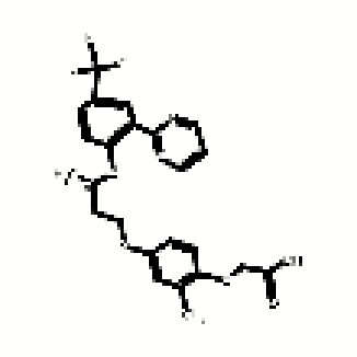 Cc1cc(SCC[C@@H](C)Oc2ccc(C(F)(F)F)cc2-c2ncccn2)ccc1OCC(=O)O